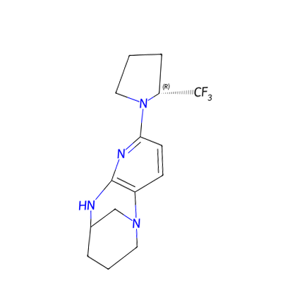 FC(F)(F)[C@H]1CCCN1c1ccc2c(n1)NC1CCCN2C1